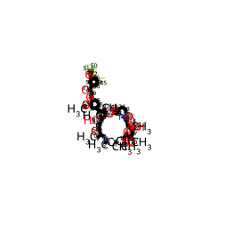 CCC1/C=C(\C)CC(C)CC(OC)C2OC(O)(C(=O)C(=O)N3CCCCC3C(=O)OC(C(C)=CC3CCC(OCC(=O)c4cc(F)cc(OC(F)(F)F)c4)C(OC)C3)C(C)C(O)CC1=O)C(C)CC2OC